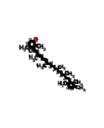 CC1=C(/C=C/C(C)=C/C=C/C(C)=C/C=C/C=C(C)/C=C/C=C(C)/C=C/c2c(C)ccc(C)c2C)C(C)(C)CCC1=O